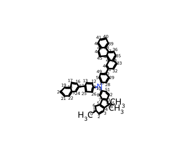 CC1C=CC2=C(C1)c1cc(N(c3ccc(-c4ccc5ccccc5c4)cc3)c3ccc(-c4ccc5ccc6c7ccccc7ccc6c5c4)cc3)ccc1C2(C)C